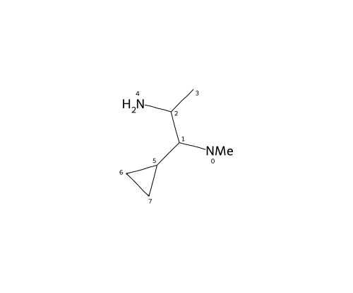 CNC(C(C)N)C1CC1